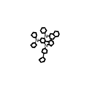 c1ccc(-c2ccc(-n3c4ccccc4c4c(N(c5ccccc5)c5ccc6ccccc6c5)cc(N(c5ccccc5)c5ccccc5)cc43)cc2)cc1